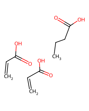 C=CC(=O)O.C=CC(=O)O.CCCC(=O)O